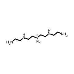 NCCNCCNCCNCCN.[Pb]